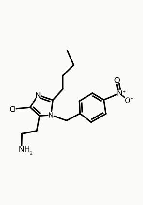 CCCCc1nc(Cl)c(CCN)n1Cc1ccc([N+](=O)[O-])cc1